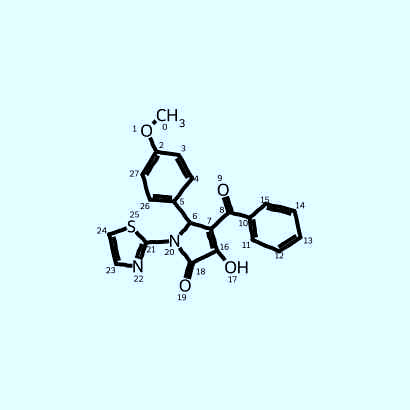 COc1ccc(C2C(C(=O)c3ccccc3)=C(O)C(=O)N2c2nccs2)cc1